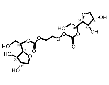 O=C(OCCOOC(=O)O[C@H](CO)[C@H]1OC[C@H](O)[C@H]1O)O[C@H](CO)[C@H]1OC[C@H](O)[C@H]1O